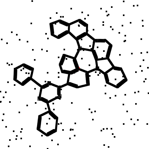 c1ccc(-c2nc(-c3ccccc3)nc(-c3ccc(-n4c5ccccc5c5ccc6c7ccc8ccccc8c7n(-c7ccccc7)c6c54)cc3)n2)cc1